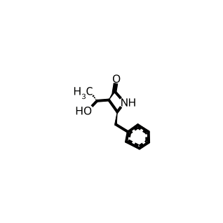 C[C@@H](O)[C@H]1C(=O)N[C@H]1Cc1ccccc1